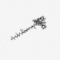 CC(C)=CCC/C(C)=C/CC/C(C)=C/CC/C=C/CC/C=C(\C)CCC(=O)OC(C(=O)O)[C@@H](NC(=O)c1ccccc1)c1ccccc1